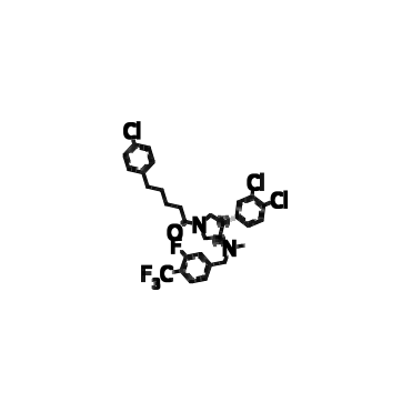 CN(Cc1ccc(C(F)(F)F)c(F)c1)[C@H]1CN(C(=O)CCCCc2ccc(Cl)cc2)C[C@@H]1c1ccc(Cl)c(Cl)c1